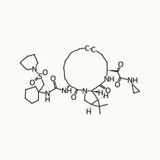 CC1(C)[C@@H]2[C@H]3C(=O)N[C@H](C(=O)C(=O)NC4CC4)CCCCCCCCC[C@H](NC(=O)NC4(CS(=O)(=O)N5CCCCC5)CCCCC4)C(=O)N3C[C@@H]21